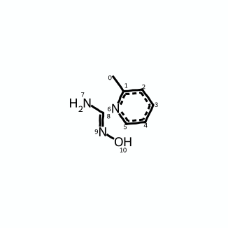 Cc1ccccn1.NC=NO